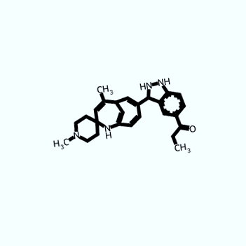 CCC(=O)c1ccc2c(c1)C(C1=CC3C=C(C=C1)NC1(C=C3C)CCN(C)CC1)NN2